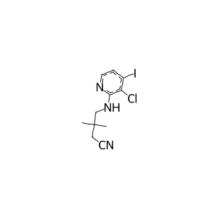 CC(C)(CC#N)CNc1nccc(I)c1Cl